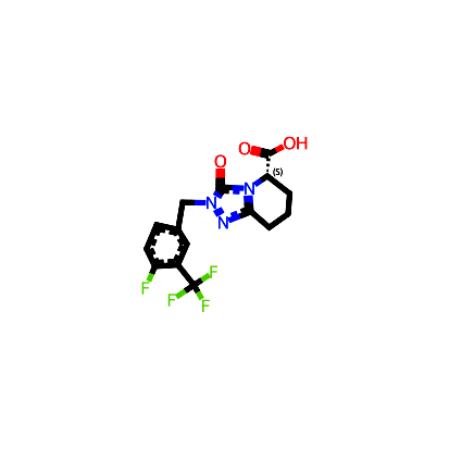 O=C(O)[C@@H]1CCCc2nn(Cc3ccc(F)c(C(F)(F)F)c3)c(=O)n21